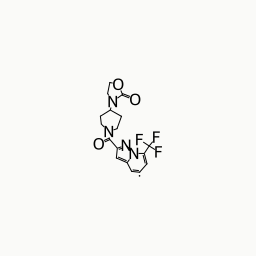 O=C(c1cc2c[c]cc(C(F)(F)F)n2n1)N1CCC(N2CCOC2=O)CC1